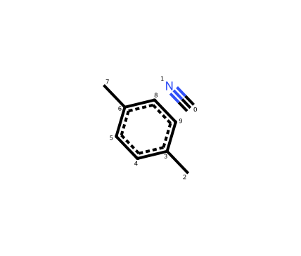 C#N.Cc1ccc(C)cc1